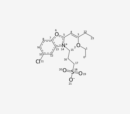 CCOC(=Cc1oc2ccc(Cl)cc2[n+]1CCCS(=O)(=O)[O-])CC